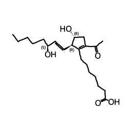 CCCCC[C@H](O)C=C[C@@H]1C(CCCCCCC(=O)O)=C(C(C)=O)C[C@H]1O